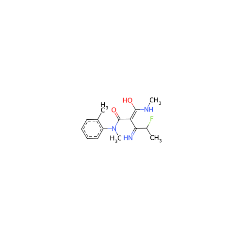 CN/C(O)=C(\C(=N)C(C)F)C(=O)N(C)c1ccccc1C